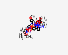 COc1ccc(CN(Cc2ccc(OC)cc2)S(=O)(=O)c2c(S(=O)(=O)NC(=O)C[C@H](C)NC(=O)OC(C)(C)C)ccc(-c3cccc4[nH]c(N(C(=O)O)C(C)(C)C)nc34)c2-c2nnn(Cc3ccc(OC)cc3)n2)cc1